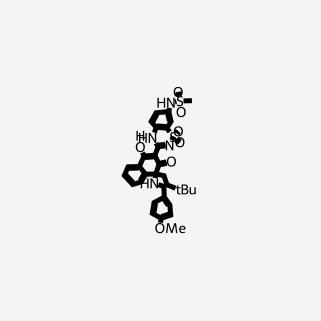 COc1ccc(CNC2(CCC(C)(C)C)C(=O)C(C3=NS(=O)(=O)c4cc(NS(C)(=O)=O)ccc4N3)=C(O)c3ccccc32)cc1